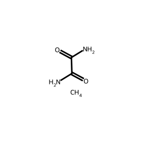 C.NC(=O)C(N)=O